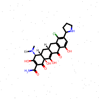 CCN(C)[C@@H]1C(O)=C(C(N)=O)C(=O)[C@@]2(O)C(O)=C3C(=O)c4c(O)cc(C5CCCN5)c(Cl)c4C[C@H]3C[C@@H]12